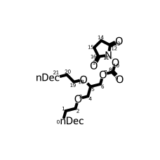 CCCCCCCCCCCCOCC(COC(=O)ON1C(=O)CCC1=O)OCCCCCCCCCCCC